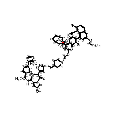 C#Cc1c(F)ccc2cc(OCOC)cc(-c3ccc4c(N5CC6CCC(C5)N6C(=O)OC(C)(C)C)nc(OCCN5CCC(COc6cc(C(C(=O)N7C[C@H](O)C[C@H]7C(=O)N[C@@H](C)c7ccc(-c8scnc8C)cc7)C(C)C)on6)CC5)nc4c3F)c12